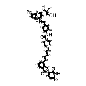 CC[C@H](CO)Nc1cc(NCc2ccc(NC(=O)N3CCN(CCCCCc4cccc5c4CN(C4CCC(=O)NC4=O)C5=O)CC3)cc2)n2ncc(C(C)C)c2n1